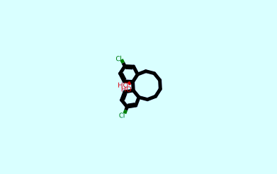 OC12C=CC(Cl)=CC1CCCCCCC1C=C(Cl)C=CC12O